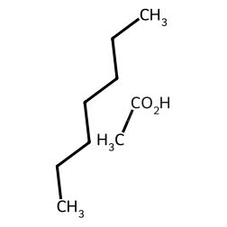 CC(=O)O.CCCCCCC